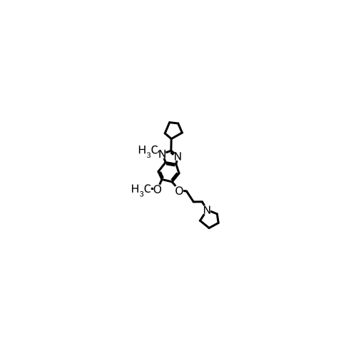 COc1cc2c(cc1OCCCN1CCCC1)nc(C1CCCC1)n2C